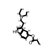 CCC(=O)Oc1ccc2[nH]cc(CCN(CC)CC)c2c1